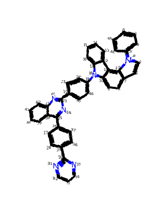 c1ccc(-n2ccc3ccc4c(c5ccccc5n4-c4ccc(-c5nc(-c6ccc(-c7ncccn7)cc6)c6ccccc6n5)cc4)c32)cc1